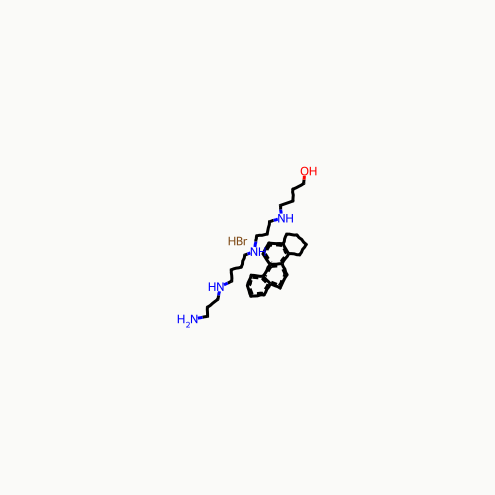 Br.NCCCNCCCCNCCCNCCCCO.c1ccc2c(c1)ccc1c3c(ccc12)CCCC3